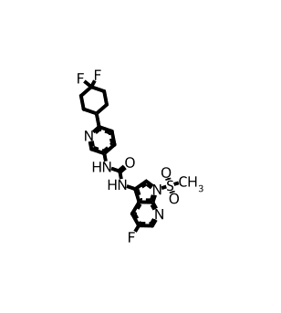 CS(=O)(=O)n1cc(NC(=O)Nc2ccc(C3CCC(F)(F)CC3)nc2)c2cc(F)cnc21